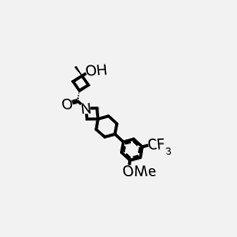 COc1cc(C2CCC3(CC2)CN(C(=O)[C@H]2C[C@@](C)(O)C2)C3)cc(C(F)(F)F)c1